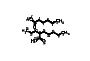 CCCCCC(=O)O.CCCCCC(CCC)C(=O)O